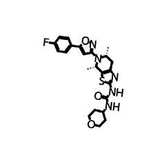 C[C@@H]1Cc2nc(NC(=O)NC3CCOCC3)sc2[C@H](C)N1c1cc(-c2ccc(F)cc2)on1